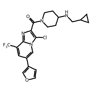 O=C(c1nc2c(C(F)(F)F)cc(-c3ccoc3)cn2c1Cl)N1CCC(NCC2CC2)CC1